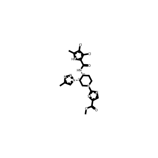 COC(=O)c1cnc(N2CC[C@@H](NC(=O)c3[nH]c(C)c(Cl)c3Cl)[C@@H](n3cc(C)nn3)C2)s1